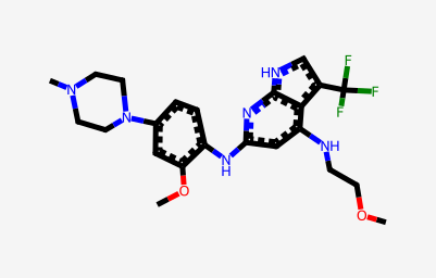 COCCNc1cc(Nc2ccc(N3CCN(C)CC3)cc2OC)nc2[nH]cc(C(F)(F)F)c12